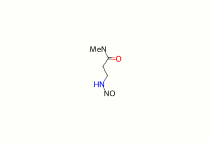 CNC(=O)CCNN=O